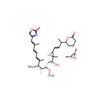 CO[C@@H](/C(C)=C/C=C/C(C)=C/c1coc(C)n1)[C@@H](C)[C@H](C[C@H](O)C1(C)OC1/C=C/C(C)C1C[C@@H](C[C@H]2O[C@H]2C)CC(=O)O1)OC=O